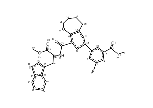 CNC(=O)c1cc(F)cc(-c2cc3c(c(C(=O)NC(Cc4c[nH]c5ccccc45)C(=O)OC)c2)OCCCC3)c1